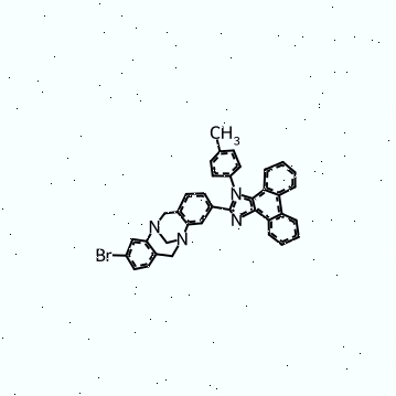 Cc1ccc(-n2c(-c3ccc4c(c3)N3Cc5ccc(Br)cc5N(C4)C3)nc3c4ccccc4c4ccccc4c32)cc1